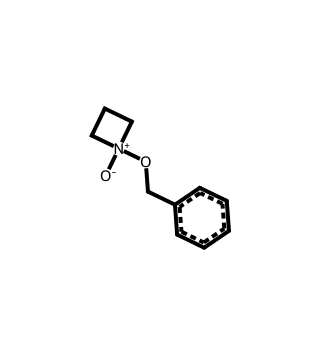 [O-][N+]1(OCc2ccccc2)CCC1